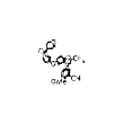 COc1ncc(N2C[C@@H](C)Oc3ccc(O[C@H]4CCN(C(=O)C5CCOCC5)C4)cc32)cc1C#N